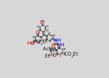 CCOC(=O)C1=C[C@@H](OC(CC)CC)[C@H](NC(C)=O)[C@@H](NC(=O)Nc2ccc(-c3c4ccc(=O)cc-4oc4cc(O)ccc34)c(C(=O)O)c2)C1